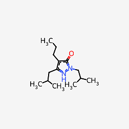 CCCc1c(CC(C)C)[nH]n(CC(C)C)c1=O